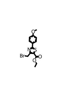 CCOC(=O)c1sc(-c2ccc(OC)cc2)nc1CBr